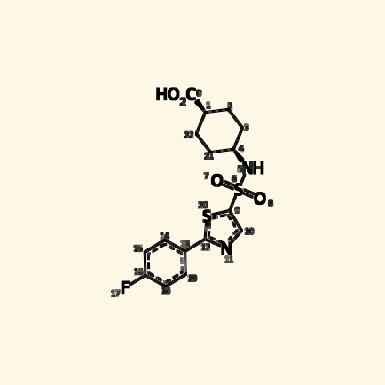 O=C(O)[C@H]1CC[C@@H](NS(=O)(=O)c2cnc(-c3ccc(F)cc3)s2)CC1